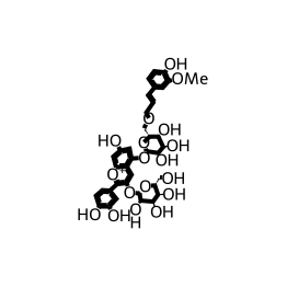 COc1cc(C=CCOC[C@H]2OC(Oc3cc(O)cc4[o+]c(-c5ccc(O)c(O)c5)c(OC5O[C@H](CO)[C@H](O)[C@H](O)[C@H]5O)cc34)[C@H](O)[C@@H](O)[C@@H]2O)ccc1O